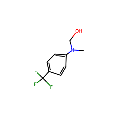 CN(CO)c1ccc(C(F)(F)F)cc1